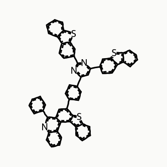 c1ccc(-c2nc3ccccc3c3c2cc(-c2ccc(-c4cc(-c5ccc6c(c5)sc5ccccc56)nc(-c5ccc6c(c5)sc5ccccc56)n4)cc2)c2sc4ccccc4c23)cc1